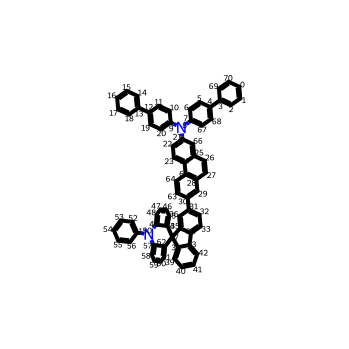 c1ccc(-c2ccc(N(c3ccc(-c4ccccc4)cc3)c3ccc4c(ccc5cc(-c6ccc7c(c6)C6(c8ccccc8-7)c7ccccc7N(c7ccccc7)c7ccccc76)ccc54)c3)cc2)cc1